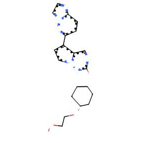 COCCO[C@H]1CC[C@H](Nc2ncc3c(-c4ccc5nccn5n4)ccn3n2)CC1